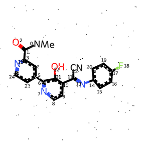 CNC(=O)c1cc(-c2nccc(/C(C#N)=N/c3ccc(F)cc3)c2O)ccn1